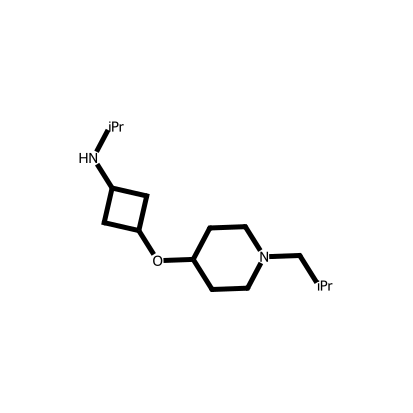 CC(C)CN1CCC(OC2CC(NC(C)C)C2)CC1